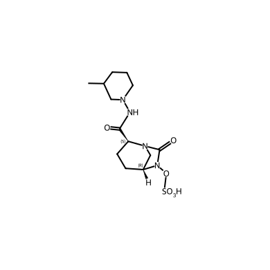 CC1CCCN(NC(=O)[C@@H]2CC[C@@H]3CN2C(=O)N3OS(=O)(=O)O)C1